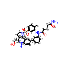 Cc1ccc(S(=O)(=O)N2CC[C@@H]3[C@H](CO)Nc4ccc(-c5cccc(NC(=O)CCCC(N)=O)c5)cc4[C@@H]32)cc1